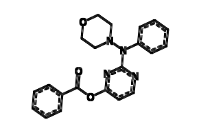 O=C(Oc1ccnc(N(c2ccccc2)N2CCOCC2)n1)c1ccccc1